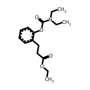 CCOC(=O)CCc1ccccc1OC(=O)N(CC)CC